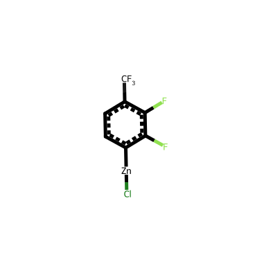 Fc1[c]([Zn][Cl])ccc(C(F)(F)F)c1F